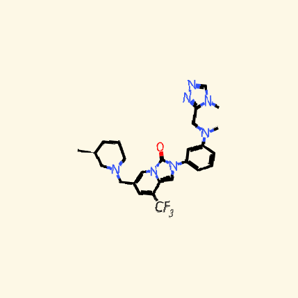 C[C@H]1CCCN(Cc2cc(C(F)(F)F)c3cn(-c4cccc(N(C)Cc5nncn5C)c4)c(=O)n3c2)C1